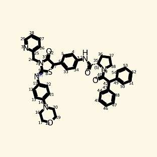 O=C(Nc1ccc(C2S/C(=N\c3ccc(N4CCOCC4)cc3)N(Cc3ccccn3)C2=O)cc1)[C@@H]1CCCN1C(=O)C(c1ccccc1)c1ccccc1